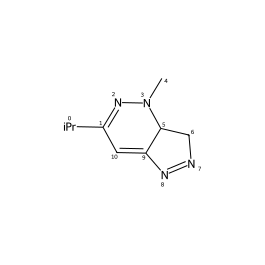 CC(C)C1=NN(C)C2CN=NC2=C1